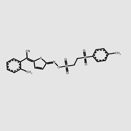 Cc1ccc(S(=O)(=O)CCS(=O)(=O)ON=C2C=C/C(=C(/C#N)c3ccccc3C)S2)cc1